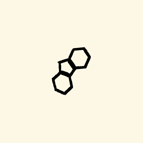 [CH]1C2=C(CCCC2)C2=C1CCCC2